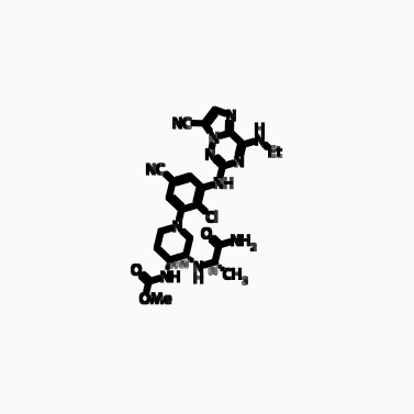 CCNc1nc(Nc2cc(C#N)cc(N3CC[C@@H](NC(=O)OC)[C@@H](N[C@@H](C)C(N)=O)C3)c2Cl)nn2c(C#N)cnc12